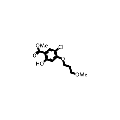 COCCCOc1cc(O)c(C(=O)OC)cc1Cl